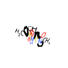 Cc1ccc(C)c(S(=O)(=O)Nc2ccc(C(=O)N3CCCC[C@H]3C)s2)c1